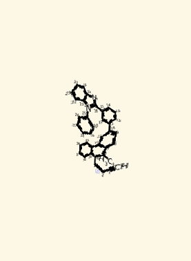 C#C/C=C\c1c(C)c2ccc(-c3cccc(-c4nc5ccccc5n4-c4ccccc4)c3)cc2c2ccccc12